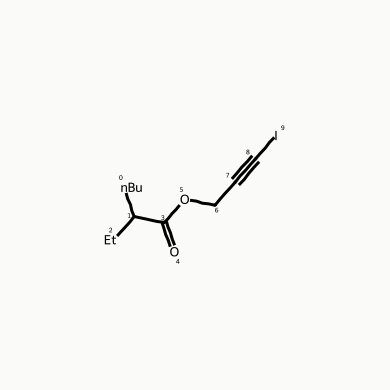 CCCCC(CC)C(=O)OCC#CI